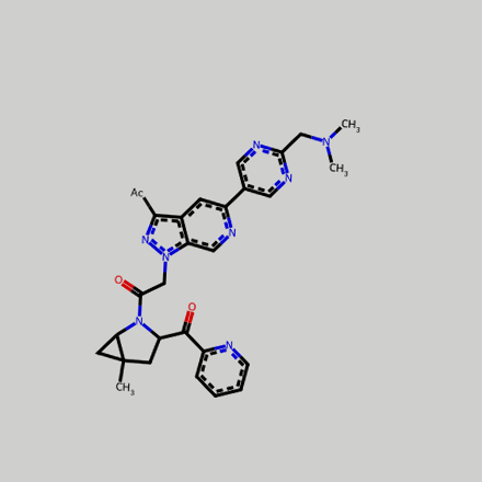 CC(=O)c1nn(CC(=O)N2C(C(=O)c3ccccn3)CC3(C)CC23)c2cnc(-c3cnc(CN(C)C)nc3)cc12